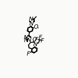 COc1cc(-c2cn(C3CCc4c(F)cccc4N(CC(F)(F)F)C3=O)nn2)ccc1-n1cnc(C)c1